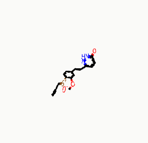 C#CC[S+]([O-])c1ccc(/C=C/c2ccc(=O)[nH]n2)cc1OC